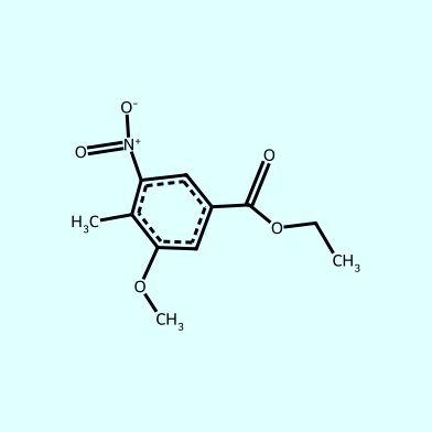 CCOC(=O)c1cc(OC)c(C)c([N+](=O)[O-])c1